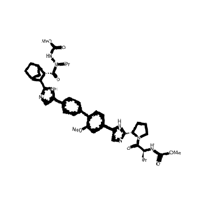 COC(=O)N[C@H](C(=O)N1CCC[C@H]1c1ncc(-c2ccc(-c3ccc(-c4cnc(C5C6CCC(C6)[C@@H]5C(=O)N(NC(=O)OC)C(C)C)[nH]4)cc3)c(OC)c2)[nH]1)C(C)C